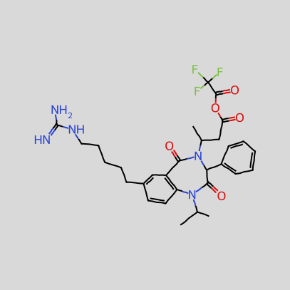 CC(C)N1C(=O)C(c2ccccc2)N(C(C)CC(=O)OC(=O)C(F)(F)F)C(=O)c2cc(CCCCCNC(=N)N)ccc21